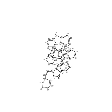 c1ccc(-c2c3ccccc3c(-c3cccc4sc5cccc(-c6c7ccccc7c(-c7ccc8oc9c%10ccccc%10ccc9c8c7)c7ccccc67)c5c34)c3ccccc23)cc1